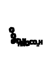 O=C(O)c1ccc2[nH]c(C3CCN(C(=O)c4ccc(-c5ccccc5)cc4)CC3)nc2c1